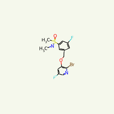 CN=S(C)(=O)c1cc(F)cc(COc2cc(F)cnc2Br)c1